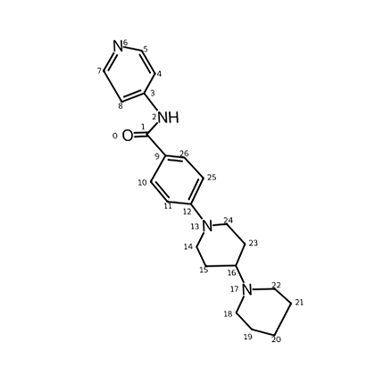 O=C(Nc1ccncc1)c1ccc(N2CCC(N3CCCCC3)CC2)cc1